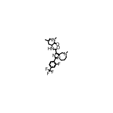 CNC(=O)C(CC(C)C)NC(=O)c1nc(-c2ccc(C(F)(F)F)cc2F)n2c1CN(C)CCC2